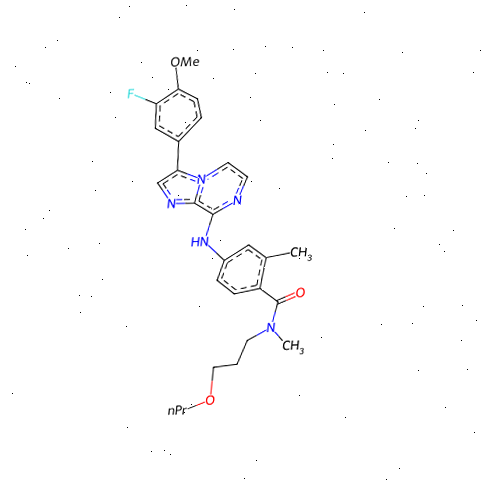 CCCOCCCN(C)C(=O)c1ccc(Nc2nccn3c(-c4ccc(OC)c(F)c4)cnc23)cc1C